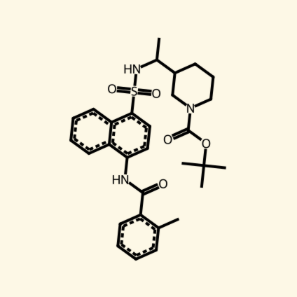 Cc1ccccc1C(=O)Nc1ccc(S(=O)(=O)NC(C)C2CCCN(C(=O)OC(C)(C)C)C2)c2ccccc12